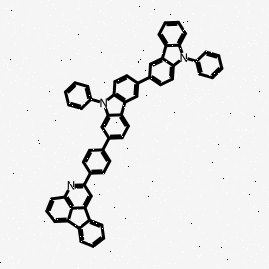 c1ccc(-n2c3ccccc3c3cc(-c4ccc5c(c4)c4ccc(-c6ccc(-c7cc8c9c(cccc9n7)-c7ccccc7-8)cc6)cc4n5-c4ccccc4)ccc32)cc1